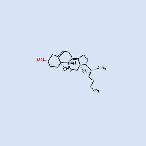 CC(C)CCC[C@@H](C)[C@H]1CCC2=C3CC=C4C[C@@H](O)CC[C@]4(C)[C@H]3CC[C@@]21C